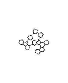 c1ccc(-c2ccc(-n3c4ccccc4c4cccc(-c5ccc6c(c5)c5c7c8ccccc8ccc7c7ccccc7c5n6-c5ccccc5)c43)cc2)cc1